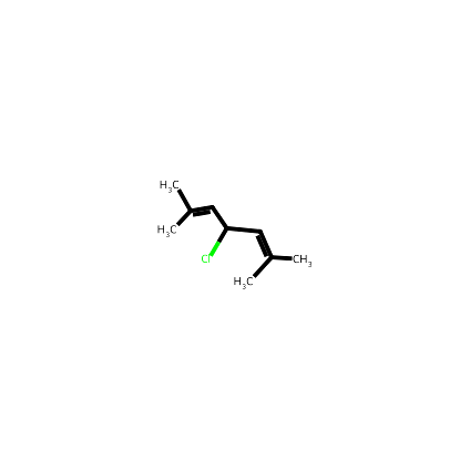 CC(C)=CC(Cl)C=C(C)C